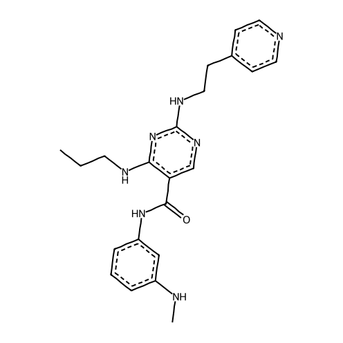 CCCNc1nc(NCCc2ccncc2)ncc1C(=O)Nc1cccc(NC)c1